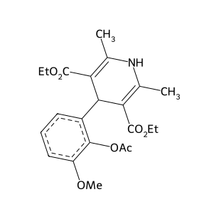 CCOC(=O)C1=C(C)NC(C)=C(C(=O)OCC)C1c1cccc(OC)c1OC(C)=O